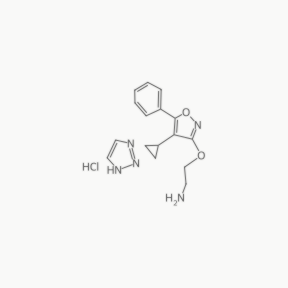 Cl.NCCOc1noc(-c2ccccc2)c1C1CC1.c1c[nH]nn1